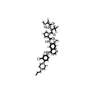 CCCN1CCN(c2ccc(Nc3ncnc4cc(OC)c(NC(=O)C5CCCN5C(=O)C(NC(=O)C(C)NC)C(C)(C)C)cc34)cc2Cl)CC1